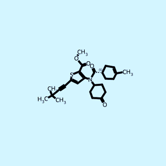 COC(=O)c1sc(C#CC(C)(C)C)cc1N(C(=O)[C@@H]1CC=C(C)CC1)C1CCC(=O)CC1